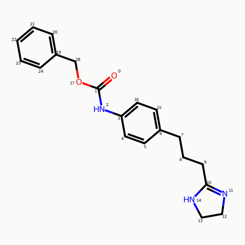 O=C(Nc1ccc(CCCC2=NCCN2)cc1)OCc1ccccc1